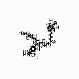 CN(CCN(C)C(=O)[C@H](CCCCNC(=O)OC(C)(C)C)NC(=O)c1ccc(C2(C(F)(F)F)NN2)cc1)C(=O)CCCC[C@H]1SC[C@H]2NC(=O)N[C@H]21